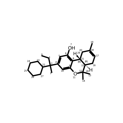 CCC(C)(c1cc(O)c2c(c1)OC(C)(C)[C@@H]1CC=C(C)C[C@@H]21)C1CCCCC1